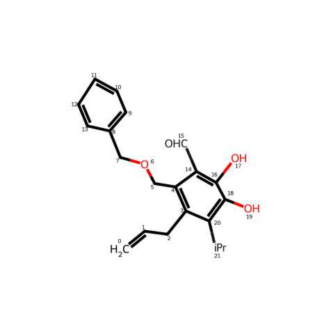 C=CCc1c(COCc2ccccc2)c(C=O)c(O)c(O)c1C(C)C